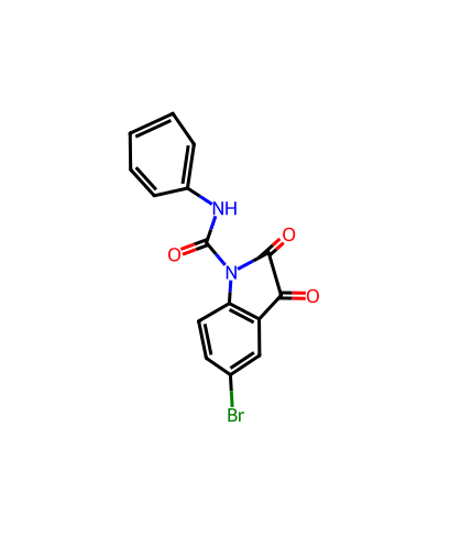 O=C1C(=O)N(C(=O)Nc2ccccc2)c2ccc(Br)cc21